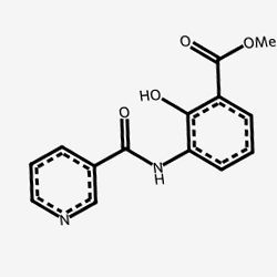 COC(=O)c1cccc(NC(=O)c2cccnc2)c1O